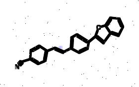 N#Cc1ccc(/C=C/c2ccc(-c3cc4ccccc4o3)cc2)cc1